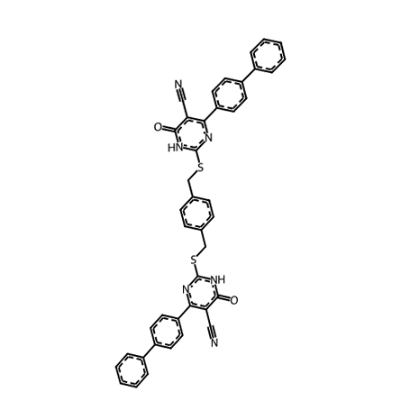 N#Cc1c(-c2ccc(-c3ccccc3)cc2)nc(SCc2ccc(CSc3nc(-c4ccc(-c5ccccc5)cc4)c(C#N)c(=O)[nH]3)cc2)[nH]c1=O